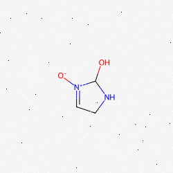 [O-][N+]1=CCNC1O